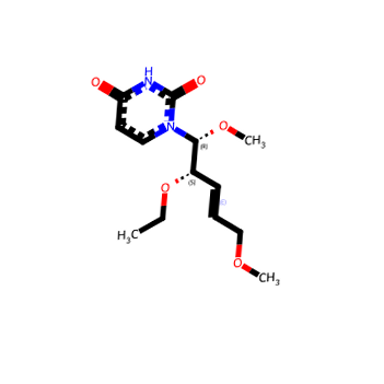 CCO[C@@H](/C=C/COC)[C@@H](OC)n1ccc(=O)[nH]c1=O